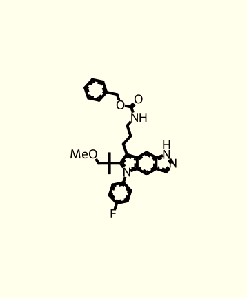 COCC(C)(C)c1c(CCCNC(=O)OCc2ccccc2)c2cc3[nH]ncc3cc2n1-c1ccc(F)cc1